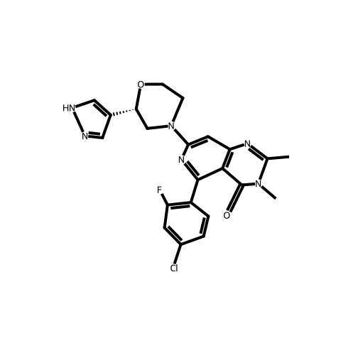 Cc1nc2cc(N3CCO[C@@H](c4cn[nH]c4)C3)nc(-c3ccc(Cl)cc3F)c2c(=O)n1C